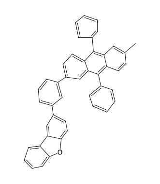 Cc1ccc2c(-c3ccccc3)c3cc(-c4cccc(-c5ccc6oc7ccccc7c6c5)c4)ccc3c(-c3ccccc3)c2c1